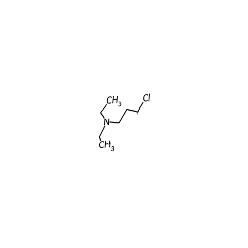 CCN(CC)CC[CH]Cl